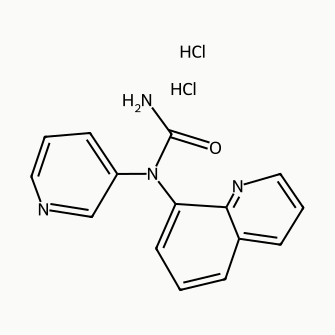 Cl.Cl.NC(=O)N(c1cccnc1)c1cccc2cccnc12